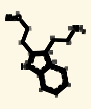 COCCc1[nH]c2ccccc2c1CCN